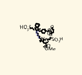 CON(C)C(=O)c1cc2c([n+](CCCS(=O)(=O)O)c1)N=C(/C=C/C=C/C=C1/N(CCCS(=O)(=O)O)c3ccccc3C1(C)Cc1ccc(C(=O)ON3C(=O)CCC3=O)cc1)C2(C)C